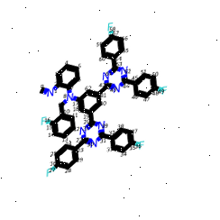 C=Nc1ccccc1N(Cc1ccccc1F)c1cc(-c2nc(-c3ccc(F)cc3)nc(-c3ccc(F)cc3)n2)cc(-c2nc(-c3ccc(F)cc3)nc(-c3ccc(F)cc3)n2)c1